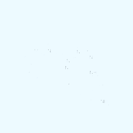 Cc1ccccc1-n1c(Cn2nc(-c3cccc(C(=O)CN)c3)c3c(N)ncnc32)cc2cccc(C)c2c1=O